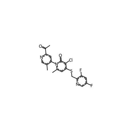 CC(=O)c1cc(-n2c(C)cc(SCc3ncc(F)cc3F)c(Cl)c2=O)c(C)cn1